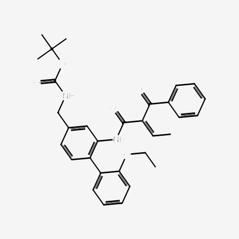 C/C=C(/C(=O)Nc1cc(CNC(=O)OC(C)(C)C)ccc1-c1ccccc1OCC)C(=O)c1ccccc1